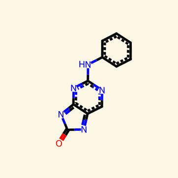 O=C1N=c2cnc(Nc3ccccc3)nc2=N1